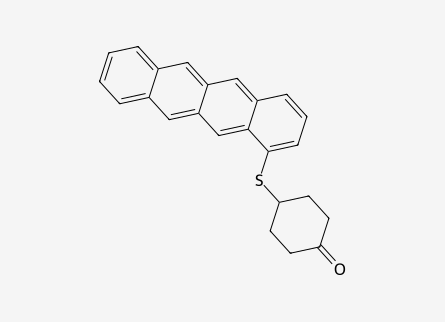 O=C1CCC(Sc2cccc3cc4cc5ccccc5cc4cc23)CC1